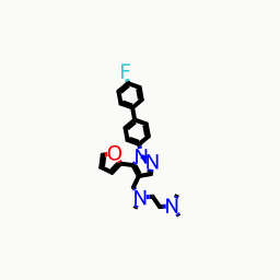 CN(C)CCN(C)Cc1cnn(-c2ccc(-c3ccc(F)cc3)cc2)c1-c1ccco1